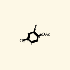 CC(=O)Oc1ccc(Cl)cc1I